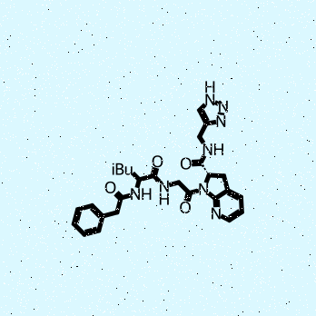 CCC(C)C(NC(=O)Cc1ccccc1)C(=O)NCC(=O)N1c2ncccc2C[C@H]1C(=O)NCc1c[nH]nn1